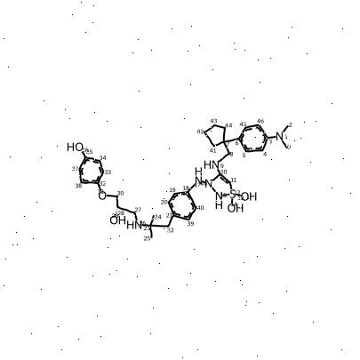 CN(C)c1ccc(C2(CNC3=CS(O)(O)NN3Nc3ccc(CC(C)(C)NC[C@H](O)COc4ccc(O)cc4)cc3)CCCC2)cc1